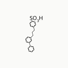 O=S(=O)(O)c1ccc(CCCc2cccc(-c3ccccc3)c2)cc1